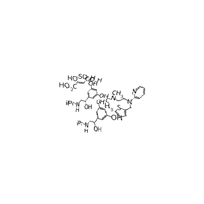 CC(C)NCC(O)c1cc(O)cc(O)c1.CC(C)NCC(O)c1cc(O)cc(O)c1.CN(C)CCN(Cc1cccs1)c1ccccn1.O=C(O)/C=C/C(=O)O.O=S(=O)(O)O